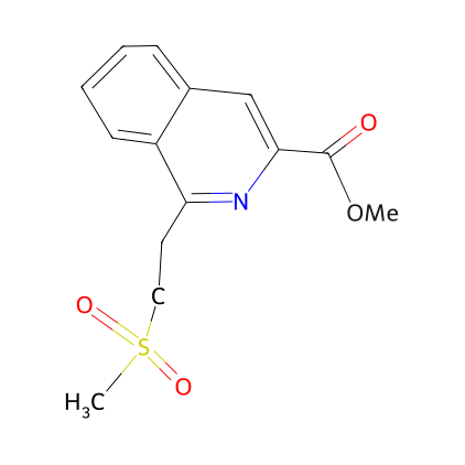 COC(=O)c1cc2ccccc2c(CCS(C)(=O)=O)n1